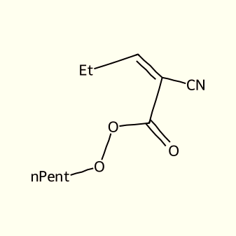 CCC=C(C#N)C(=O)OOCCCCC